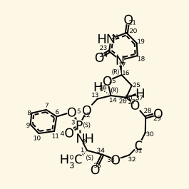 C[C@@H]1N[P@@](=O)(Oc2ccccc2)OC[C@H]2O[C@@H](n3ccc(=O)[nH]c3=O)C[C@@H]2OC(=O)CCCOC1=O